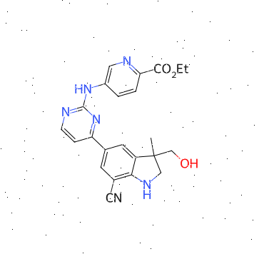 CCOC(=O)c1ccc(Nc2nccc(-c3cc(C#N)c4c(c3)C(C)(CO)CN4)n2)cn1